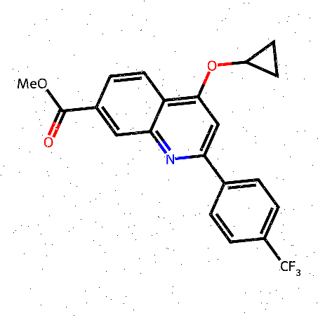 COC(=O)c1ccc2c(OC3CC3)cc(-c3ccc(C(F)(F)F)cc3)nc2c1